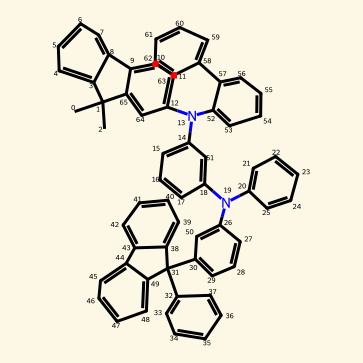 CC1(C)c2ccccc2-c2ccc(N(c3cccc(N(c4ccccc4)c4cccc(C5(c6ccccc6)c6ccccc6-c6ccccc65)c4)c3)c3ccccc3-c3ccccc3)cc21